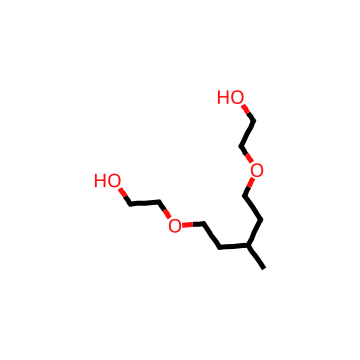 CC(CCOCCO)CCOCCO